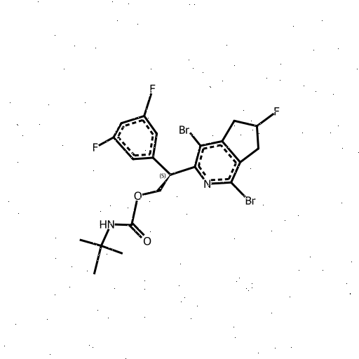 CC(C)(C)NC(=O)OC[C@@H](c1cc(F)cc(F)c1)c1nc(Br)c2c(c1Br)CC(F)C2